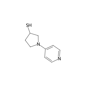 SC1CCN(c2ccncc2)C1